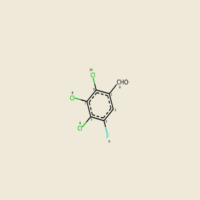 O=[C]c1cc(F)c(Cl)c(Cl)c1Cl